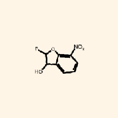 O=[N+]([O-])c1cccc2c1OC(F)C2O